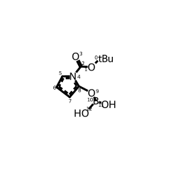 CC(C)(C)OC(=O)n1cccc1OB(O)O